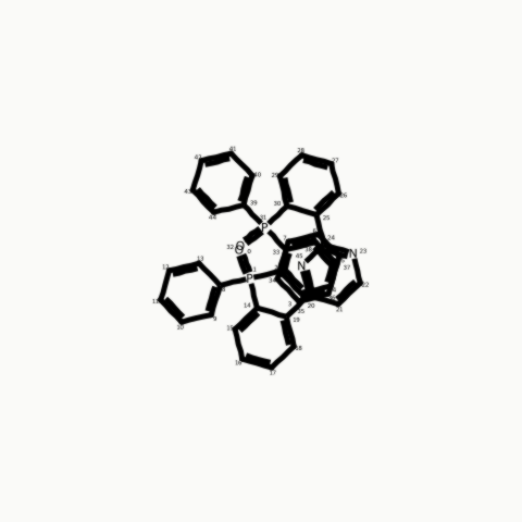 O=P(c1ccccc1)(c1ccccc1)c1ccccc1-c1ccnc(-c2ccccc2P(=O)(c2ccccc2)c2ccccc2)n1